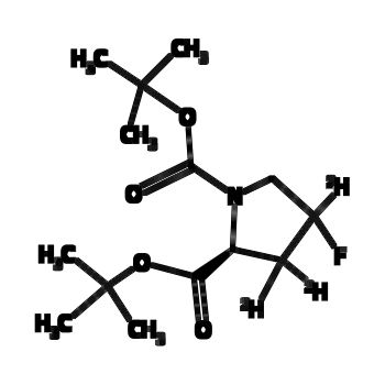 [2H]C1(F)CN(C(=O)OC(C)(C)C)[C@H](C(=O)OC(C)(C)C)C1([2H])[2H]